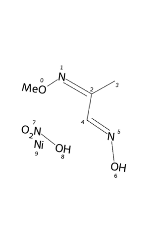 CON=C(C)C=NO.O=[N+]([O-])O.[Ni]